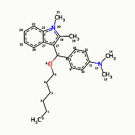 CCCCCCOC(c1ccc(N(C)C)cc1)c1c(C)n(C)c2ccccc12